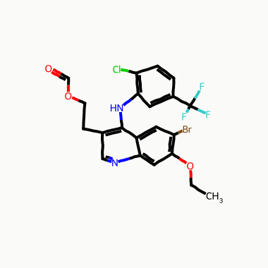 CCOc1cc2ncc(CCOC=O)c(Nc3cc(C(F)(F)F)ccc3Cl)c2cc1Br